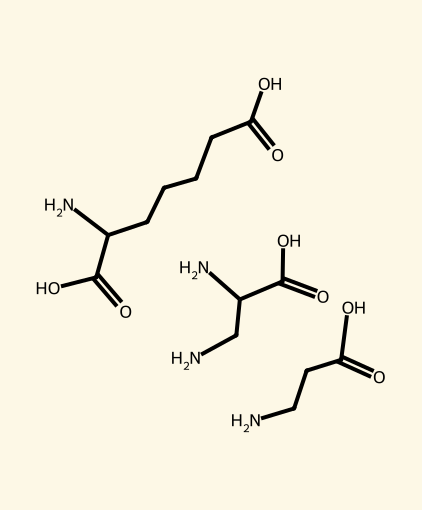 NC(CCCCC(=O)O)C(=O)O.NCC(N)C(=O)O.NCCC(=O)O